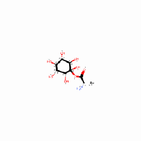 CC[C@H](C)[C@H](N)C(=O)O[C@]1(O)[C@H](O)[C@H](O)[C@@H](O)[C@H](O)[C@H]1O